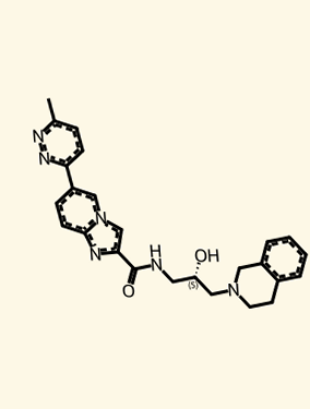 Cc1ccc(-c2ccc3nc(C(=O)NC[C@H](O)CN4CCc5ccccc5C4)cn3c2)nn1